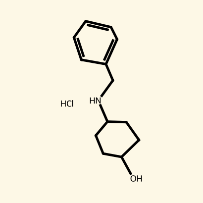 Cl.OC1CCC(NCc2ccccc2)CC1